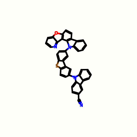 N#Cc1ccc2c(c1)c1ccccc1n2-c1ccc2sc3ccc(-n4c5ccccc5c5ccc6oc7cccnc7c6c54)cc3c2c1